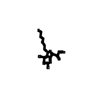 COC(=O)c1nn(CCOCCCF)c2c(Cl)nc(Cl)nc12